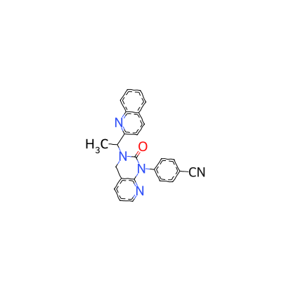 CC(c1ccc2ccccc2n1)N1Cc2cccnc2N(c2ccc(C#N)cc2)C1=O